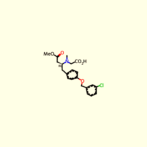 COC(=O)C[C@H](Cc1ccc(OCc2cccc(Cl)c2)cc1)N(C)CC(=O)O